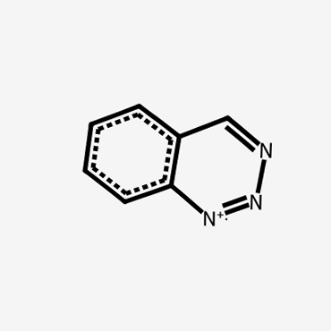 C1=NN=[N+]c2ccccc21